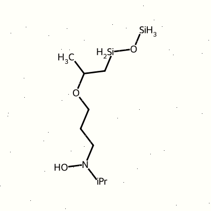 CC(C[SiH2]O[SiH3])OCCCN(O)C(C)C